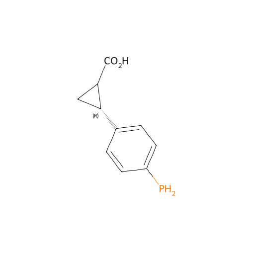 O=C(O)C1C[C@H]1c1ccc(P)cc1